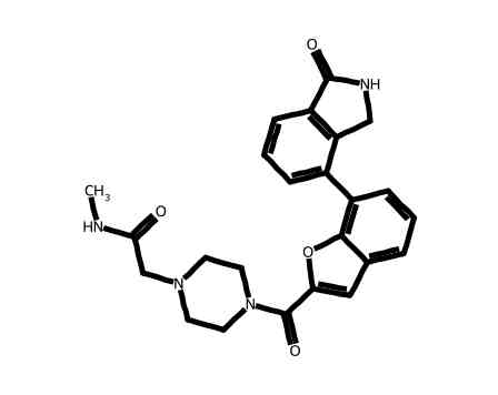 CNC(=O)CN1CCN(C(=O)c2cc3cccc(-c4cccc5c4CNC5=O)c3o2)CC1